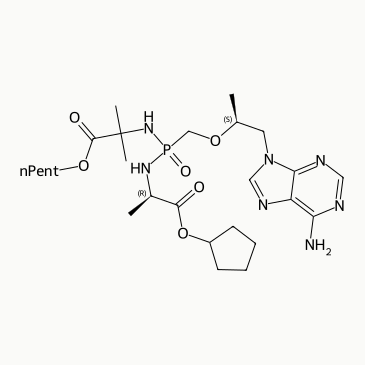 CCCCCOC(=O)C(C)(C)NP(=O)(CO[C@@H](C)Cn1cnc2c(N)ncnc21)N[C@H](C)C(=O)OC1CCCC1